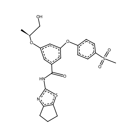 C[C@@H](CO)Oc1cc(Oc2ccc(S(C)(=O)=O)cc2)cc(C(=O)Nc2nc3c(s2)CCC3)c1